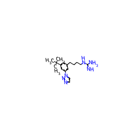 CC(C)(C)c1cc(CCCCNC(=N)N)cc(-n2ccnn2)c1